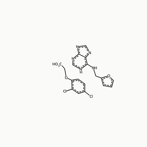 O=C(O)COc1ccc(Cl)cc1Cl.c1coc(CNc2[nH]cnc3ncnc2-3)c1